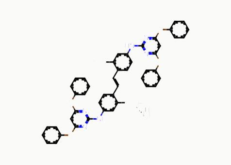 O=S(=O)(O)c1cc(Nc2nc(Sc3ccccc3)cc(Sc3ccccc3)n2)ccc1/C=C/c1ccc(Nc2nc(Sc3ccccc3)cc(Sc3ccccc3)n2)cc1S(=O)(=O)O.[NaH].[NaH]